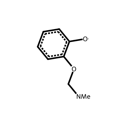 CNCOc1ccccc1[O]